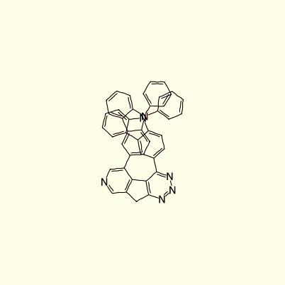 c1ccc(-n2c3ccccc3c3cc(-c4cncc5c4-c4c(nnnc4-c4ccc6c(c4)c4ccccc4n6-c4ccccc4)C5)ccc32)cc1